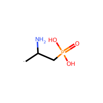 [CH2]C(N)CP(=O)(O)O